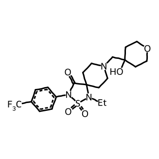 CCN1C2(CCN(CC3(O)CCOCC3)CC2)C(=O)N(c2ccc(C(F)(F)F)cc2)S1(=O)=O